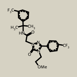 COCCn1c(-c2ccc(C(F)(F)F)cc2)nn(CC(=O)NC(C)(C)c2cccc(C(F)(F)F)c2)c1=O